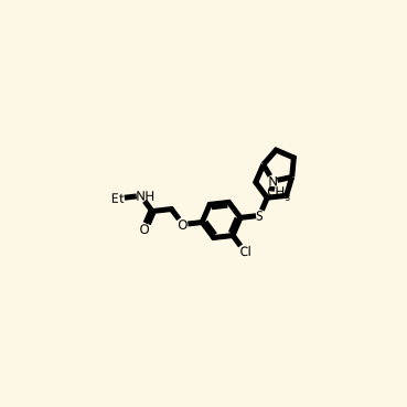 CCNC(=O)COc1ccc(SC2CC3CCC(C2)N3C)c(Cl)c1